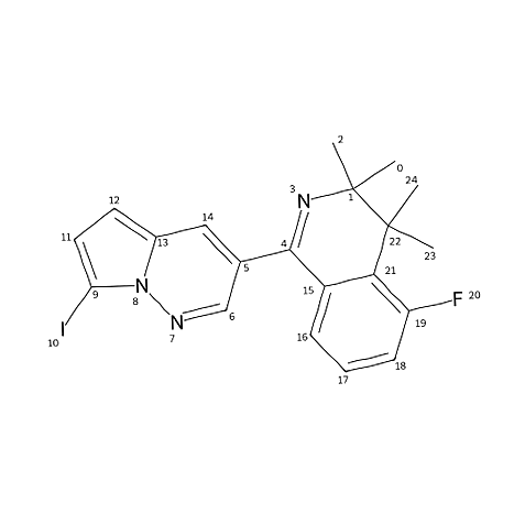 CC1(C)N=C(c2cnn3c(I)ccc3c2)c2cccc(F)c2C1(C)C